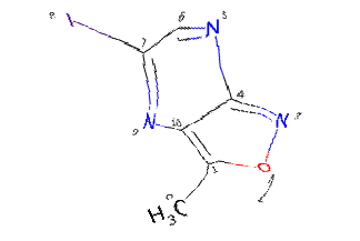 Cc1onc2ncc(I)nc12